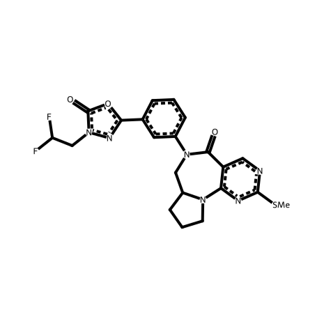 CSc1ncc2c(n1)N1CCCC1CN(c1cccc(-c3nn(CC(F)F)c(=O)o3)c1)C2=O